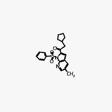 Cc1cnc2c(c1)cc(C(=O)CC1CCCC1)n2S(=O)(=O)c1ccccc1